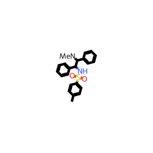 CNC(c1ccccc1)C(NS(=O)(=O)c1ccc(C)cc1)c1ccccc1